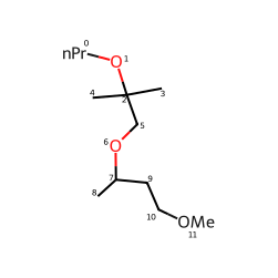 CCCOC(C)(C)COC(C)CCOC